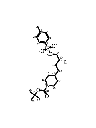 Cc1ccc(S(=O)(=O)OC[C@H](C)CCC2CCN(C(=O)OC(C)(C)C)CC2)cc1